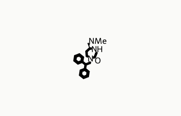 CNC[C@@H]1CCN(CC(c2ccccc2)c2ccccc2)C(=O)CN1